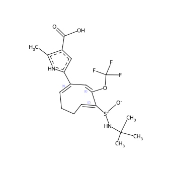 Cc1[nH]c(C2=C/CC/C=C([S+]([O-])NC(C)(C)C)/C(OC(F)(F)F)=C\2)cc1C(=O)O